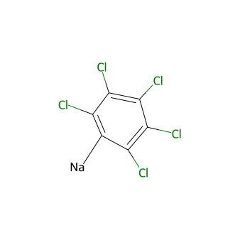 [Na][c]1c(Cl)c(Cl)c(Cl)c(Cl)c1Cl